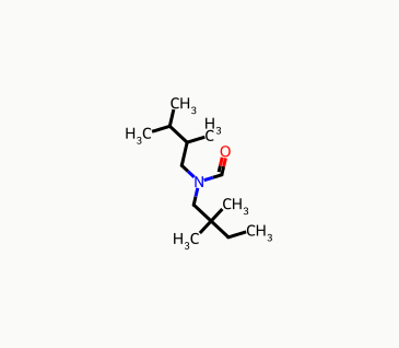 CCC(C)(C)CN(C=O)CC(C)C(C)C